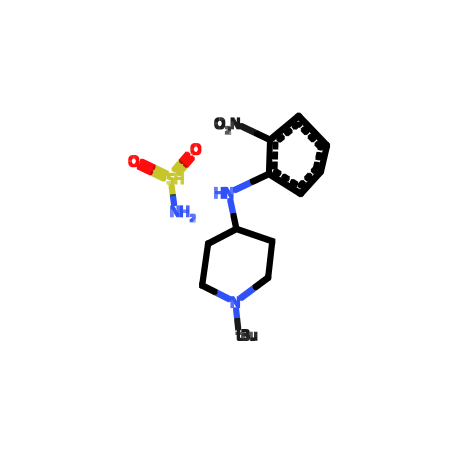 CC(C)(C)N1CCC(Nc2ccccc2[N+](=O)[O-])CC1.N[SH](=O)=O